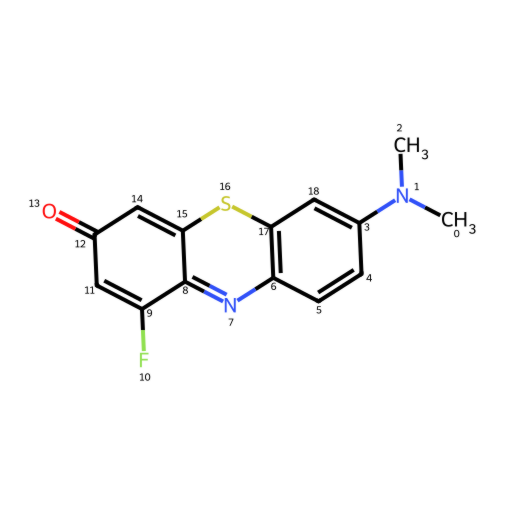 CN(C)c1ccc2nc3c(F)cc(=O)cc-3sc2c1